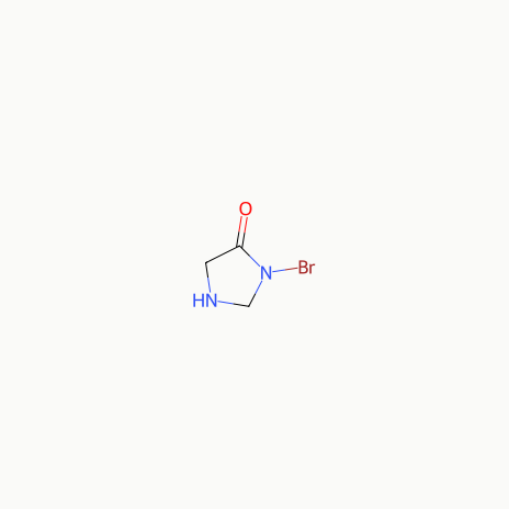 O=C1CNCN1Br